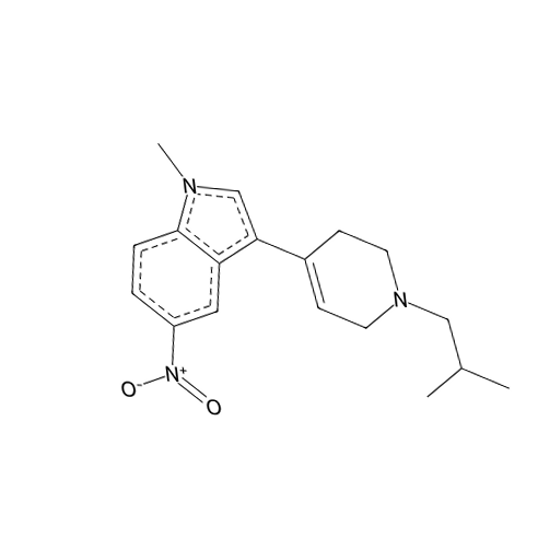 CC(C)CN1CC=C(c2cn(C)c3ccc([N+](=O)[O-])cc23)CC1